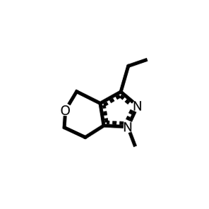 CCc1nn(C)c2c1COCC2